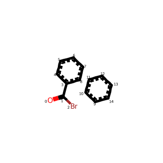 O=C(Br)c1ccccc1.c1ccccc1